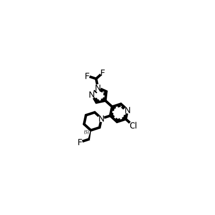 FC[C@H]1CCCN(c2cc(Cl)ncc2-c2cnn(C(F)F)c2)C1